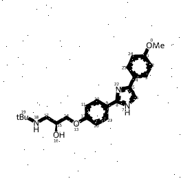 COc1ccc(-c2c[nH]c(-c3ccc(OC[C@@H](O)CNC(C)(C)C)cc3)n2)cc1